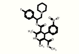 COC(=O)C1=C(C)NC(C)=C(C(=O)OC(CN2CCCCC2)c2ccc(F)cc2)C1c1cccc([N+](=O)[O-])c1